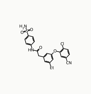 CCc1cc(CC(=O)Nc2ccc(S(N)(=O)=O)cc2)cc(Oc2cc(C#N)ccc2Cl)c1